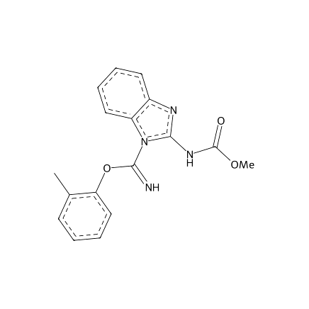 COC(=O)Nc1nc2ccccc2n1C(=N)Oc1ccccc1C